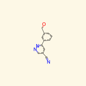 N#Cc1cnnc(-c2cccc(C=O)c2)c1